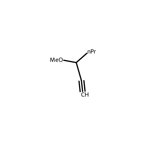 C#CC(CC[CH2])OC